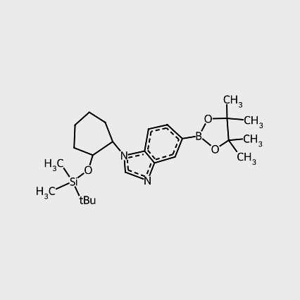 CC1(C)OB(c2ccc3c(c2)ncn3C2CCCCC2O[Si](C)(C)C(C)(C)C)OC1(C)C